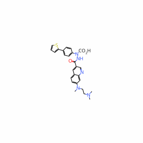 CN(C)CCN(C)c1ccc2cc(C(=O)NN(C(=O)O)c3ccc(-c4cccs4)cc3)cnc2c1